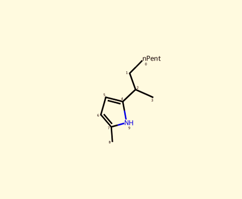 CCCCCCC(C)c1ccc(C)[nH]1